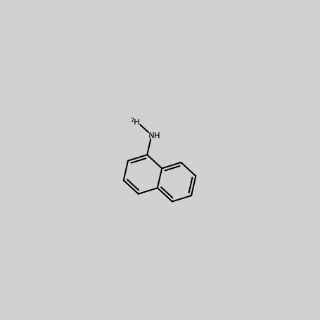 [2H]Nc1cccc2ccccc12